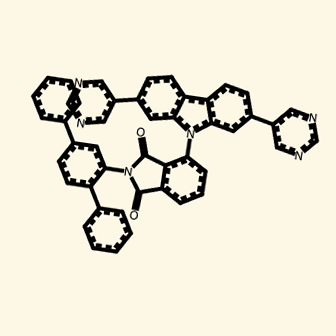 O=C1c2cccc(-n3c4cc(-c5cncnc5)ccc4c4ccc(-c5cncnc5)cc43)c2C(=O)N1c1cc(-c2ccccc2)ccc1-c1ccccc1